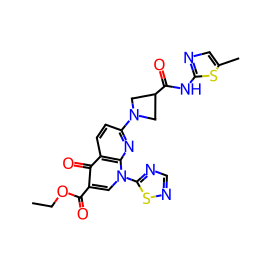 CCOC(=O)c1cn(-c2ncns2)c2nc(N3CC(C(=O)Nc4ncc(C)s4)C3)ccc2c1=O